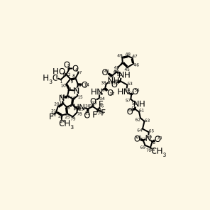 CC[C@@]1(O)C(=O)OCc2c1cc1n(c2=O)Cc2c-1nc1cc(F)c(C)c3c1c2[C@@H](NC(=O)C(OCNC(=O)CNC(=O)[C@H](Cc1ccccc1)NC(=O)CNC(=O)CNC(=O)CCCCCN1C(=O)CC(C)C1=O)C(F)(F)F)CC3